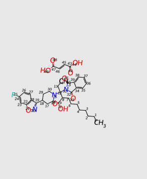 CCCCCCCCC(C(=O)O)C(CC)(N1CCC(c2noc3cc(F)ccc23)CC1)N1C(=O)c2ccccc2C1=O.O=C(O)C=CC(=O)O